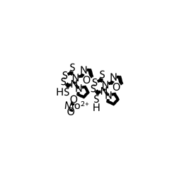 S=C([S-])N(c1ncco1)N(C(=S)S)N1CCCC1.S=C([S-])N(c1ncco1)N(C(=S)S)N1CCCC1.[O]=[Mo+2]=[O]